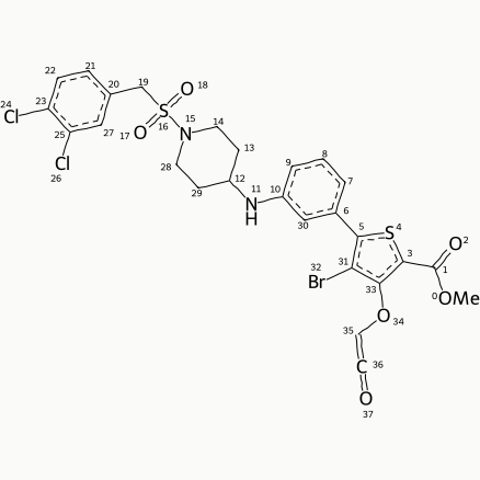 COC(=O)c1sc(-c2cccc(NC3CCN(S(=O)(=O)Cc4ccc(Cl)c(Cl)c4)CC3)c2)c(Br)c1OC=C=O